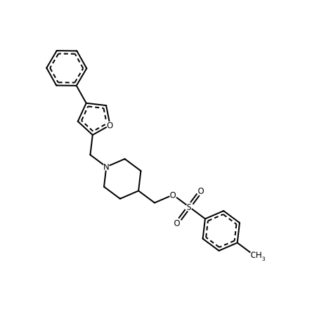 Cc1ccc(S(=O)(=O)OCC2CCN(Cc3cc(-c4ccccc4)co3)CC2)cc1